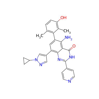 Cc1ccc(O)c(C)c1-c1cc(-c2cnn(C3CC3)c2)c2nc(-c3ccncc3)[nH]c(=O)c2c1N